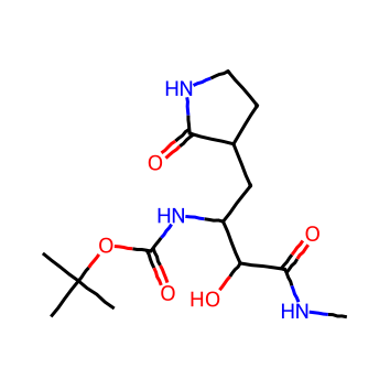 CNC(=O)C(O)C(CC1CCNC1=O)NC(=O)OC(C)(C)C